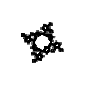 CCc1scc(C2=C3C=CC(=N3)C(c3csc(CC)c3CC)=C3C=CC(=N3)C(c3csc(CC)c3CC)=C3C=CC(=N3)C(c3csc(CC)c3CC)=C3C=CC2=N3)c1CC